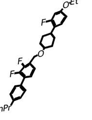 CCCc1ccc(-c2ccc(COC3CCC(c4ccc(OCC)cc4F)CC3)c(F)c2F)cc1